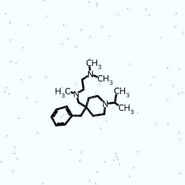 CC(C)N1CCC(Cc2ccccc2)(CN(C)CCN(C)C)CC1